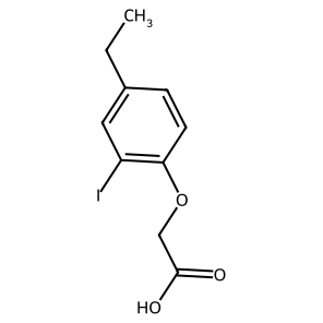 CCc1ccc(OCC(=O)O)c(I)c1